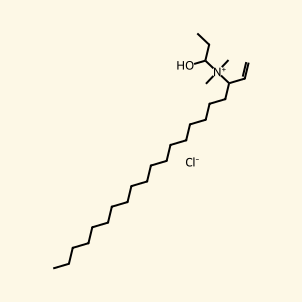 C=CC(CCCCCCCCCCCCCCCCCC)[N+](C)(C)C(O)CC.[Cl-]